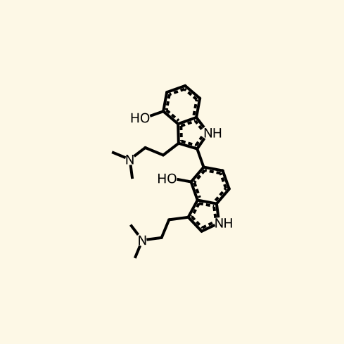 CN(C)CCc1c[nH]c2ccc(-c3[nH]c4cccc(O)c4c3CCN(C)C)c(O)c12